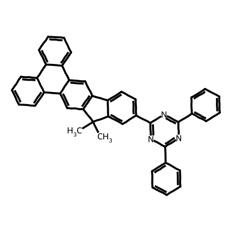 CC1(C)c2cc(-c3nc(-c4ccccc4)nc(-c4ccccc4)n3)ccc2-c2cc3c4ccccc4c4ccccc4c3cc21